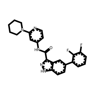 O=C(Nc1ccnc(N2CCCCC2)c1)c1n[nH]c2ccc(-c3cccc(F)c3F)cc12